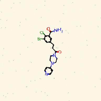 NC(=O)c1cc(C[CH]C(=O)N2CCN(c3ccncc3)CC2)cc(Br)c1Cl